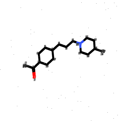 CC(C)C(=O)C1CCC(CCCN2CCC(C(C)C)CC2)CC1